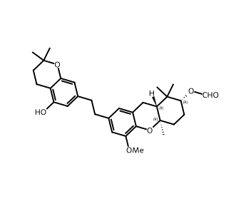 COc1cc(CCc2cc(O)c3c(c2)OC(C)(C)CC3)cc2c1O[C@]1(C)CC[C@@H](OC=O)C(C)(C)[C@H]1C2